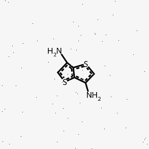 Nc1csc2c(N)csc12